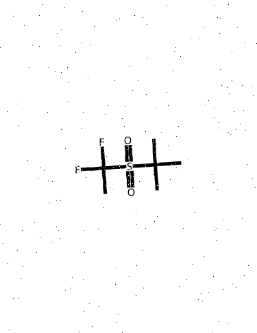 CC(C)(C)S(=O)(=O)C(C)(F)F